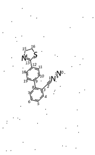 [N][N+]#Cc1ccccc1-c1ccc(C2=NCCS2)cc1